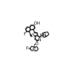 C#Cc1c(F)ccc2cc(O)cc(-c3cc4c(N5CC6CCC(C5)N6)nc(OC[C@@]56CCCN5C[C@H](F)C6)cc4s3)c12